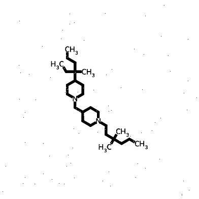 CCCC(C)(C)CCN1CCC(CN2CCC(C(C)(CC)CCC)CC2)CC1